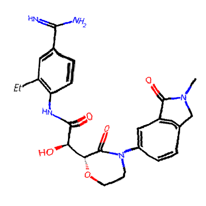 CCc1cc(C(=N)N)ccc1NC(=O)[C@H](O)[C@H]1OCCN(c2ccc3c(c2)C(=O)N(C)C3)C1=O